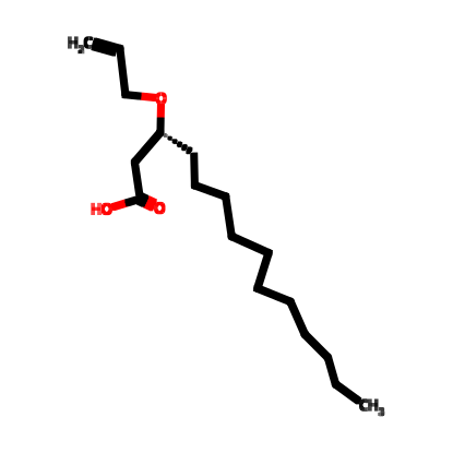 C=CCO[C@H](CCCCCCCCCCC)CC(=O)O